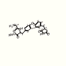 COC(=O)C(Cc1ccc(Oc2ccc(CC3SC(=O)NC3=O)cc2)cc1)NC(=O)CN